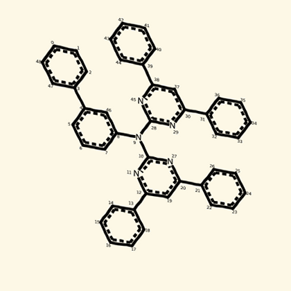 c1ccc(-c2cccc(N(c3nc(-c4ccccc4)cc(-c4ccccc4)n3)c3nc(-c4ccccc4)cc(-c4ccccc4)n3)c2)cc1